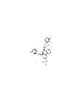 CCN(CC)C(=O)[C@@H]1C=C2c3cccc4[nH]cc(c34)C[C@H]2N(C)C1.Clc1[c]c(Cl)cc(Cl)c1.OB(O)c1cccc(F)c1F